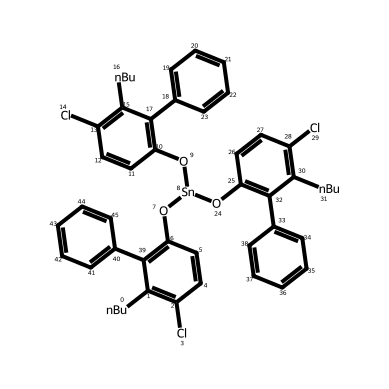 CCCCc1c(Cl)ccc([O][Sn]([O]c2ccc(Cl)c(CCCC)c2-c2ccccc2)[O]c2ccc(Cl)c(CCCC)c2-c2ccccc2)c1-c1ccccc1